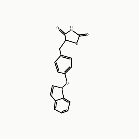 O=C1NC(=O)C(Cc2ccc(On3ccc4ccccc43)cc2)S1